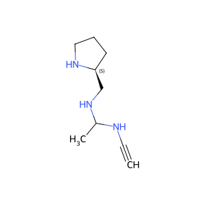 C#CNC(C)NC[C@@H]1CCCN1